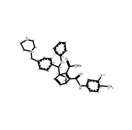 COC(=O)C1=C(C(=O)Nc2ccc(C)c(F)c2)C2C=CC1(C(Oc1ccccc1)c1ccc(CN3CCOCC3)cc1)O2